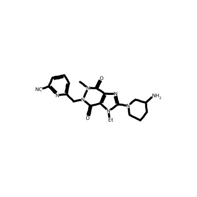 CCn1c(N2CCCC(N)C2)nc2c(=O)n(C)n(Cc3cccc(C#N)n3)c(=O)c21